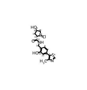 Cc1ncsc1-c1ccc(CNC(=O)[C@@H]2C[C@@H](O)CN2Cl)c(O)c1